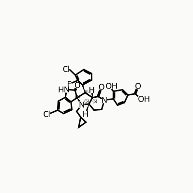 O=C(O)c1ccc(N2CC[C@H]3[C@@H](C2=O)[C@H](c2cccc(Cl)c2F)[C@]2(C(=O)Nc4cc(Cl)ccc42)N3CC2CC2)c(O)c1